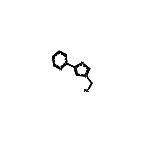 N#CCn1cnc(-c2ccccn2)c1